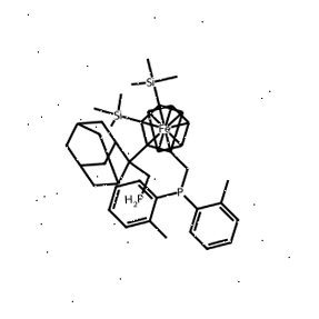 Cc1ccccc1P(C[C]12[CH]3[C]4([Si](C)(C)C)[C]5([Si](C)(C)C)[C]1(C1(CP)C6CC7CC(C6)CC1C7)[Fe]32451678[CH]2[CH]1[CH]6[CH]7[CH]28)c1ccccc1C